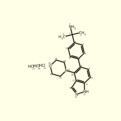 CC(C)(N)c1ccc(-c2ccc3[nH]ncc3c2N2CCOCC2)cc1.Cl.Cl.Cl